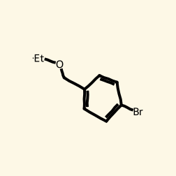 C[CH]OCc1ccc(Br)cc1